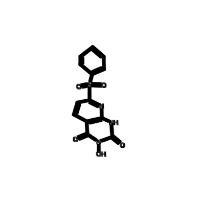 O=c1[nH]c2nc(S(=O)(=O)c3ccccc3)ccc2c(=O)n1O